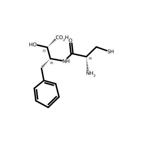 N[C@@H](CS)C(=O)N[C@H](Cc1ccccc1)[C@H](O)C(=O)O